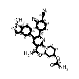 Cn1ncc2cc(-c3cc(C(N)=O)c(N4CCC(OC(N)=O)CC4)nc3-c3ccc(C#N)c(F)c3)ccc21